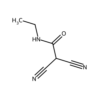 CCNC(=O)C(C#N)C#N